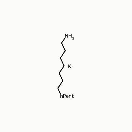 CCCCCCCCCCCCN.[K]